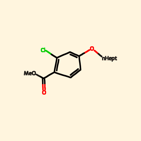 CCCCCCCOc1ccc(C(=O)OC)c(Cl)c1